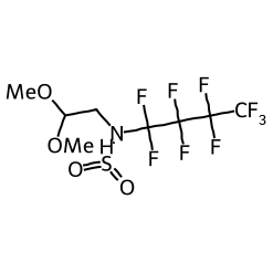 COC(CN([SH](=O)=O)C(F)(F)C(F)(F)C(F)(F)C(F)(F)F)OC